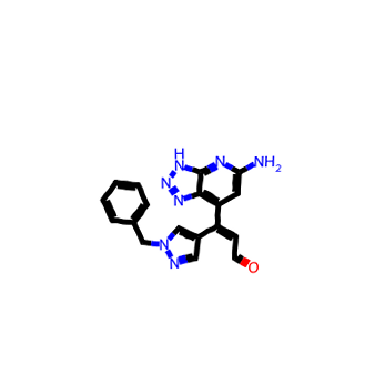 Nc1cc(/C(=C/C=O)c2cnn(Cc3ccccc3)c2)c2nn[nH]c2n1